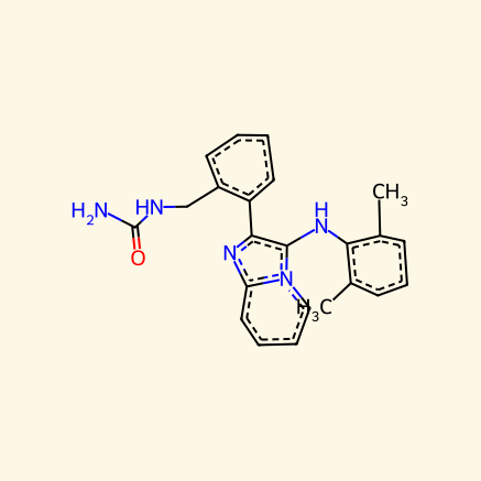 Cc1cccc(C)c1Nc1c(-c2ccccc2CNC(N)=O)nc2ccccn12